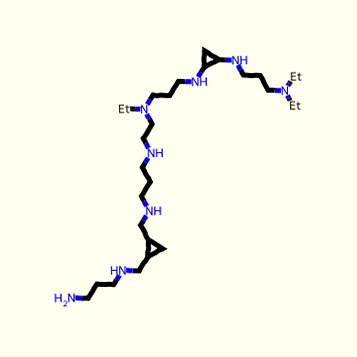 CCN(CC)CCCNC1CC1NCCCN(CC)CCNCCCNCC1CC1CNCCCN